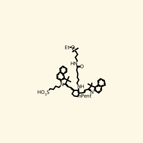 CCCCC[N+]1=C(/C=C/C2=C(NCCCCCC(=O)NCCC[Si](C)(C)OCC)C(=C/C=C3/N(CCCCS(=O)(=O)O)c4ccc5ccccc5c4C3(C)C)/CCC2)C(C)(C)c2c1ccc1ccccc21